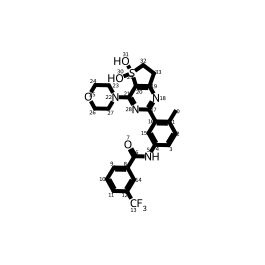 Cc1ccc(NC(=O)c2cccc(C(F)(F)F)c2)cc1-c1nc2c(c(N3CCOCC3)n1)S(O)(O)CC2